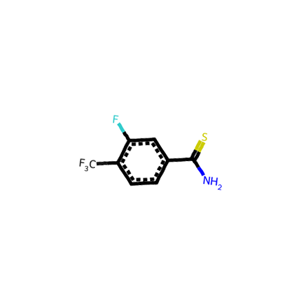 NC(=S)c1ccc(C(F)(F)F)c(F)c1